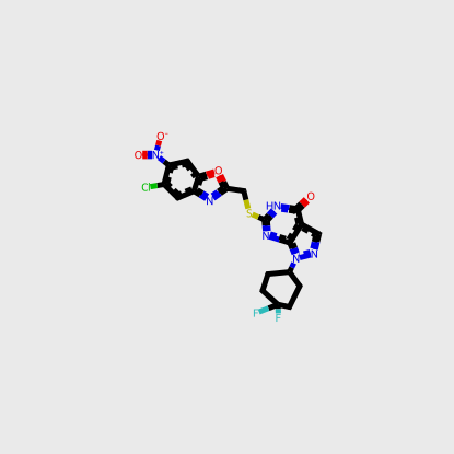 O=c1[nH]c(SCc2nc3cc(Cl)c([N+](=O)[O-])cc3o2)nc2c1cnn2C1CCC(F)(F)CC1